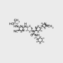 CC(O)CNc1nc(NC2CCC(N(C(=O)NCc3ccccc3)c3ccc(-c4cnn(C)c4)cn3)CC2)ncc1C#N